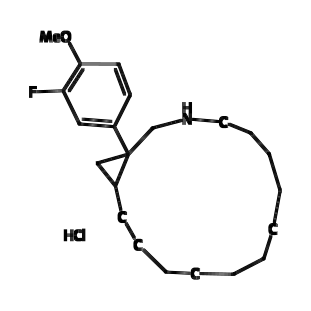 COc1ccc(C23CNCCCCCCCCCCCC2C3)cc1F.Cl